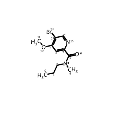 CCCN(C)C(=O)c1cc(OC)c(Br)cn1